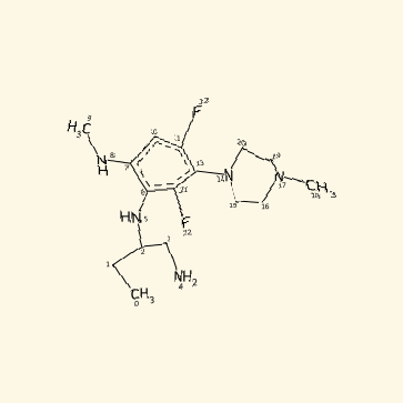 CCC(CN)Nc1c(NC)cc(F)c(N2CCN(C)CC2)c1F